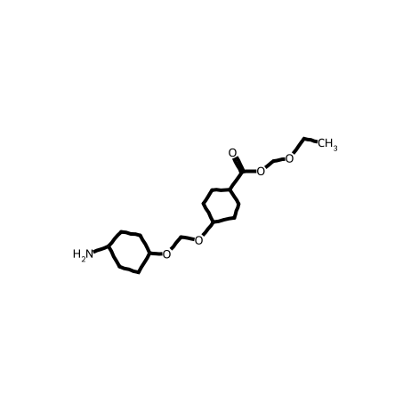 CCOCOC(=O)C1CCC(OCOC2CCC(N)CC2)CC1